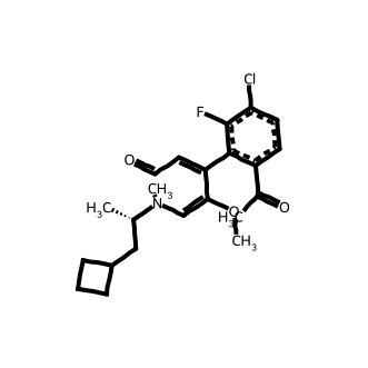 COC(=C/N(C)[C@@H](C)CC1CCC1)/C(=C\C=O)c1c(C(C)=O)ccc(Cl)c1F